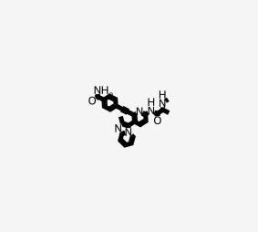 CNC(C)C(=O)Nc1ccc(-c2c(C)nc3ccccn23)c(C#Cc2ccc(C(N)=O)cc2)n1